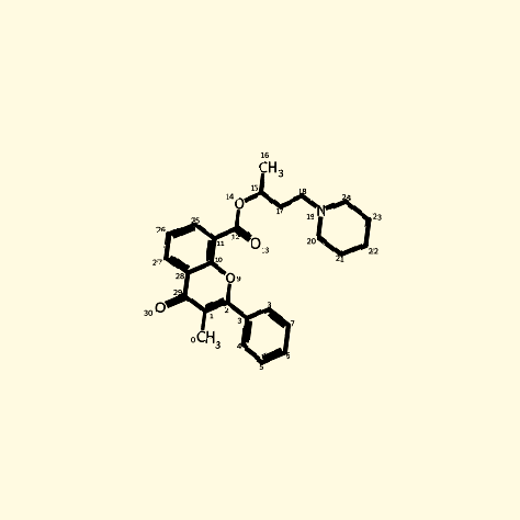 Cc1c(-c2ccccc2)oc2c(C(=O)OC(C)CCN3CCCCC3)cccc2c1=O